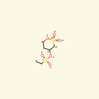 CCS(=O)(=O)OC1CCOS(=O)(=O)C1